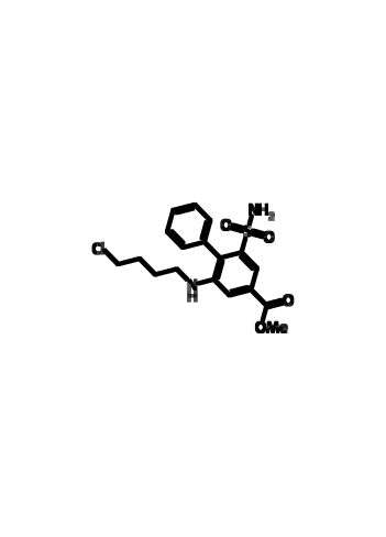 COC(=O)c1cc(NCCCCCl)c(-c2ccccc2)c(S(N)(=O)=O)c1